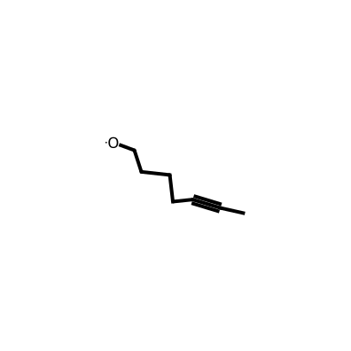 CC#CCCCC[O]